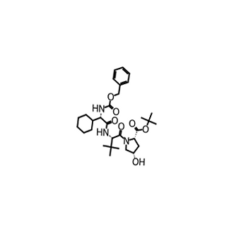 CC(C)(C)OC(=O)[C@@H]1C[C@H](O)CN1C(=O)[C@@H](NC(=O)[C@@H](NC(=O)OCc1ccccc1)C1CCCCC1)C(C)(C)C